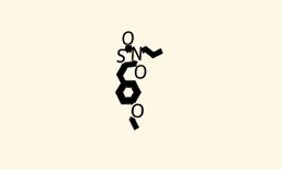 CCCN1C(=O)SC(=Cc2ccc(OCC)cc2)C1=O